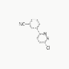 N#Cc1cccc(-c2ccc(Cl)nn2)c1